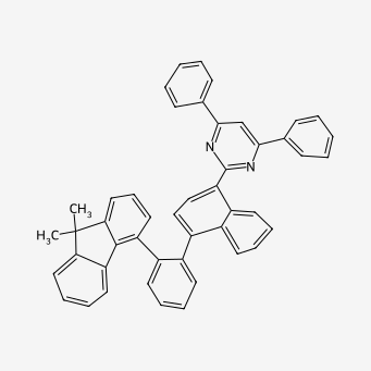 CC1(C)c2ccccc2-c2c(-c3ccccc3-c3ccc(-c4nc(-c5ccccc5)cc(-c5ccccc5)n4)c4ccccc34)cccc21